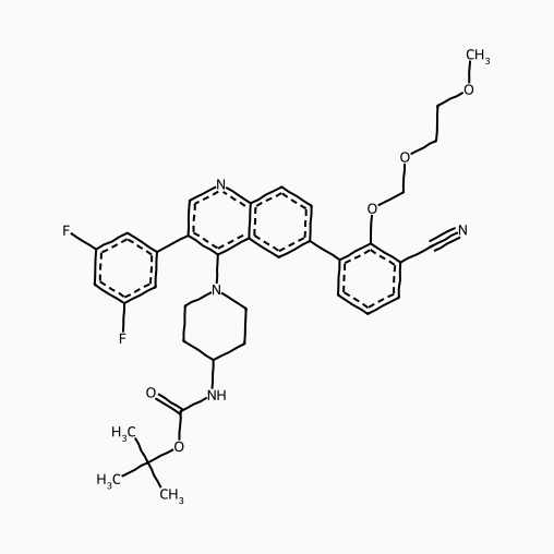 COCCOCOc1c(C#N)cccc1-c1ccc2ncc(-c3cc(F)cc(F)c3)c(N3CCC(NC(=O)OC(C)(C)C)CC3)c2c1